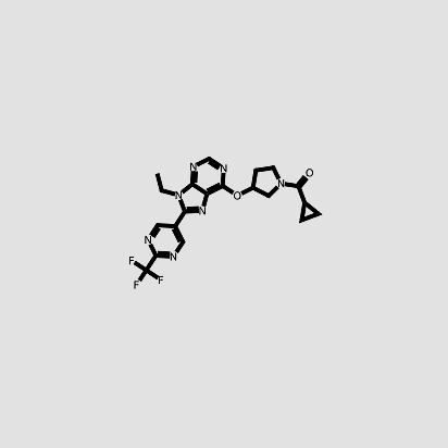 CCn1c(-c2cnc(C(F)(F)F)nc2)nc2c(OC3CCN(C(=O)C4CC4)C3)ncnc21